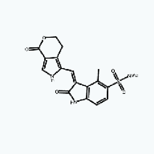 CNS(=O)(=O)c1ccc2c(c1C)C(=Cc1[nH]cc3c1CCOC3=O)C(=O)N2